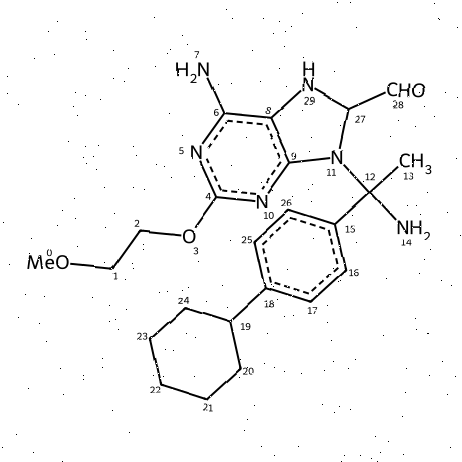 COCCOc1nc(N)c2c(n1)N(C(C)(N)c1ccc(C3CCCCC3)cc1)C(C=O)N2